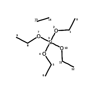 CCO[Si](OCC)(OCC)OCC.[CH2]C